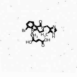 Cc1[nH]cnc1CN1CCc2c(c3cccc(Br)c3n2C)C1=O.O=C(O)C=CC(=O)O